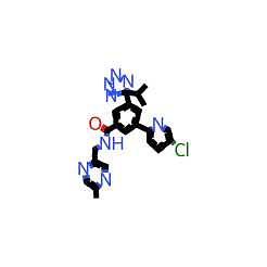 Cc1cnc(CNC(=O)c2cc(-c3ccc(Cl)cn3)cc(C3(C(C)C)N=NN=N3)c2)cn1